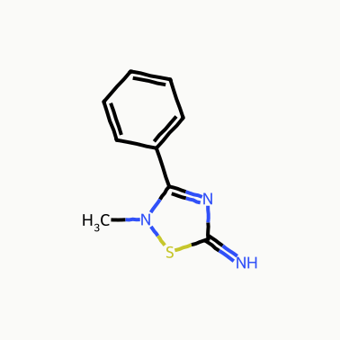 Cn1sc(=N)nc1-c1ccccc1